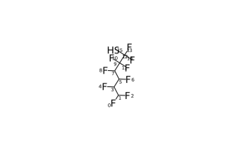 FC(F)C(F)C(F)C(F)C(F)(F)C(F)(F)S